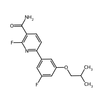 CC(C)COc1cc(F)cc(-c2ccc(C(N)=O)c(F)n2)c1